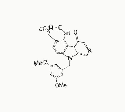 COc1cc(CN2C3=CN=CC(=O)C3c3c2ccc(CC(=O)O)c3NC=O)cc(OC)c1